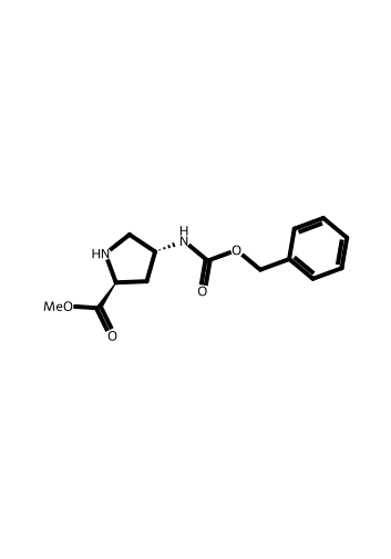 COC(=O)[C@@H]1C[C@@H](NC(=O)OCc2ccccc2)CN1